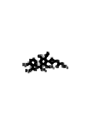 COC(=O)ON1CC(c2c(C#N)c(Cl)cc(C(C)n3nc(C)c4c(N)ncnc43)c2OC)C1